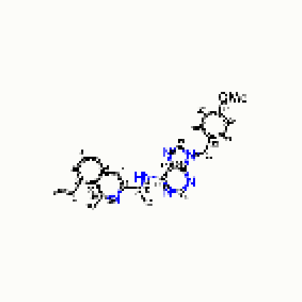 C=Cc1cccc2cc([C@H](C)Nc3ncnc4c3ncn4Cc3ccc(OC)cc3)nc(C)c12